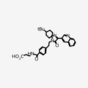 CC(C)(C)C1CCC2(CC1)N=C(c1cnc3ccccc3c1)C(=O)N2CCc1ccc(C(=O)NCCC(=O)O)cc1